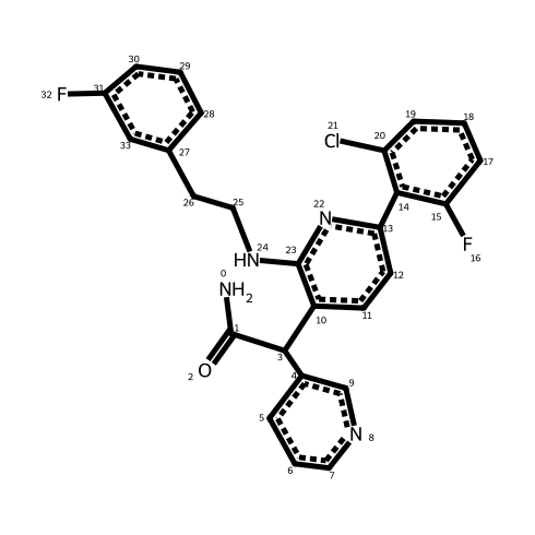 NC(=O)C(c1cccnc1)c1ccc(-c2c(F)cccc2Cl)nc1NCCc1cccc(F)c1